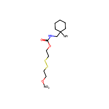 CCCC1(CNC(=O)OCCSSCCO[N+](=O)[O-])CCCCC1